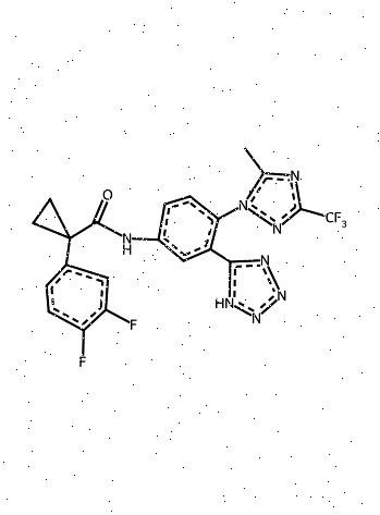 Cc1nc(C(F)(F)F)nn1-c1ccc(NC(=O)C2(c3ccc(F)c(F)c3)CC2)cc1-c1nnn[nH]1